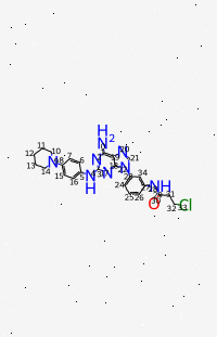 Nc1nc(Nc2ccc(N3CCCCC3)cc2)nc2c1ncn2-c1cccc(NC(=O)CCCl)c1